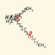 CCCCCCCOC(=O)CCCCCCCCCCCC(C(=O)OCCCCCCC)(C(C)C)C(C)C